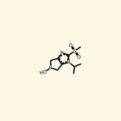 CC(C)n1c(S(C)(=O)=O)nc2c1CN(O)C2